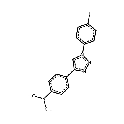 CN(C)c1ccc(-c2cn(-c3ccc(I)cc3)nn2)cc1